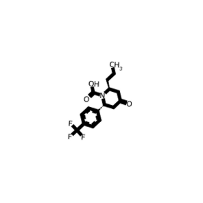 CCC[C@H]1CC(=O)C[C@H](c2ccc(C(F)(F)F)cc2)N1C(=O)O